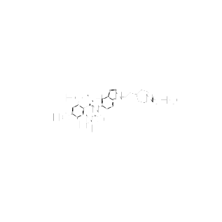 CC(C)c1cc(C(=N)N(C(N)=O)c2ccc3c(ccn3CCC3CCN(C=O)CC3)c2)c(O)cc1O